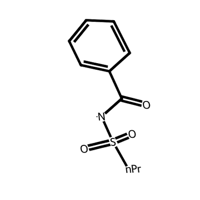 CCCS(=O)(=O)[N]C(=O)c1ccccc1